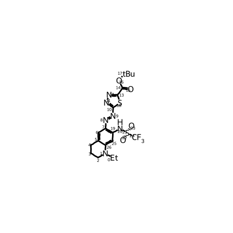 CCN1CCCc2cc(N=Nc3nnc(C(=O)OC(C)(C)C)s3)c(NS(=O)(=O)C(F)(F)F)cc21